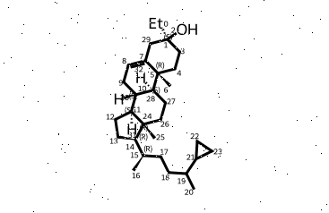 CC[C@]1(O)CC[C@@]2(C)C(=CC[C@H]3[C@@H]4CC[C@H]([C@H](C)CCC(C)C5CC5)[C@@]4(C)CC[C@@H]32)C1